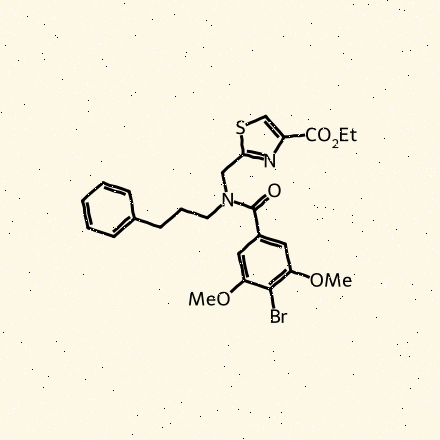 CCOC(=O)c1csc(CN(CCCc2ccccc2)C(=O)c2cc(OC)c(Br)c(OC)c2)n1